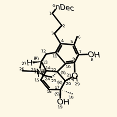 CCCCCCCCCCCCCc1c(C)c(O)c2c3c1C[C@@H]1[C@@H]4C=C[C@](C)(O)[C@H](O2)[C@]34CCN1C